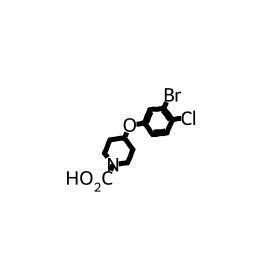 O=C(O)N1CCC(Oc2ccc(Cl)c(Br)c2)CC1